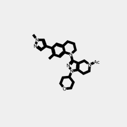 CC(=O)N1CCc2c(c(N3CCCc4cc(-c5cnn(C)c5)c(C)cc43)nn2C2CCOCC2)C1